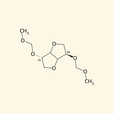 COCO[C@H]1COC2C1OC[C@H]2OCOC